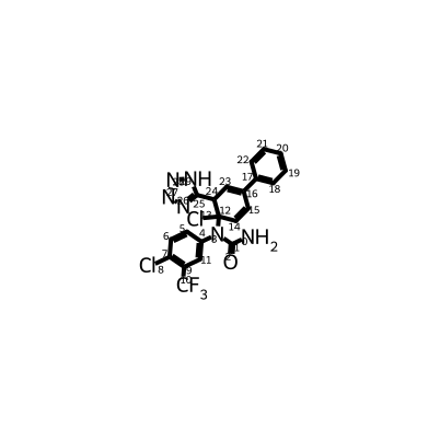 NC(=O)N(c1ccc(Cl)c(C(F)(F)F)c1)C1(Cl)C=CC(c2ccccc2)=CC1c1nnn[nH]1